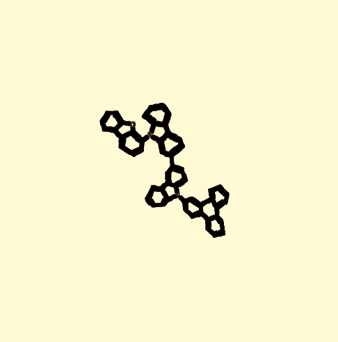 c1ccc2c(c1)oc1c(-n3c4ccccc4c4ccc(-c5ccc6c(c5)c5ccccc5n6-c5ccc6c7ccccc7c7ccccc7c6c5)cc43)cccc12